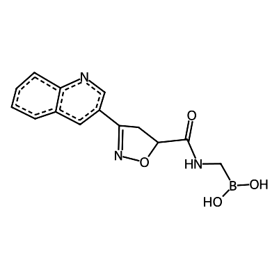 O=C(NCB(O)O)C1CC(c2cnc3ccccc3c2)=NO1